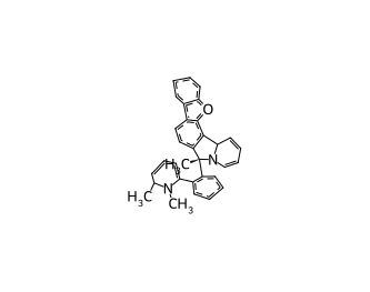 CC1C=CC=C(c2ccccc2[C@]2(C)c3ccc4c(oc5ccccc54)c3C3C=CC=CN32)N1C